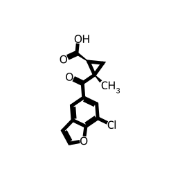 C[C@]1(C(=O)c2cc(Cl)c3occc3c2)C[C@@H]1C(=O)O